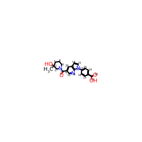 C[C@]1(O)CCCN(C(=O)c2cnc3c(ccn3-c3ccc(C(=O)O)cc3)c2)C1